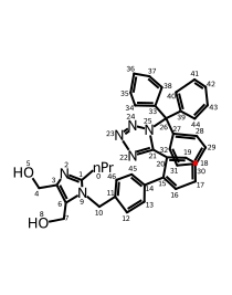 CCCc1nc(CO)c(CO)n1Cc1ccc(-c2ccccc2-c2nnnn2C(c2ccccc2)(c2ccccc2)c2ccccc2)cc1